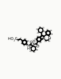 O=C(O)C=Cc1ccc(NC(=O)C2(NC(=O)c3ccc4c(C5CCCCC5)c5n(c4c3)CCOc3ccccc3-5)CCCCC2)cc1